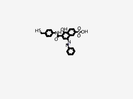 O=C(Nc1ccc(CS)cc1)c1cc(/N=N/c2ccccc2)c2cc(S(=O)(=O)O)ccc2c1O